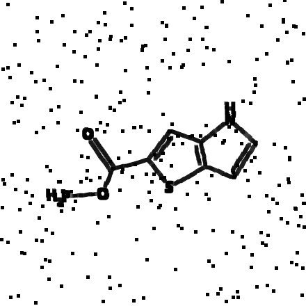 O=C(OP)c1cc2[nH]ccc2s1